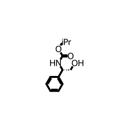 CC(C)OC(=O)N[C@H](CO)c1ccccc1